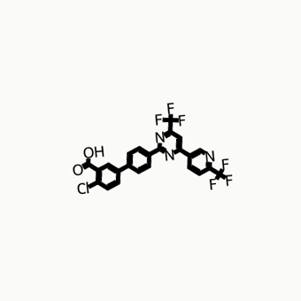 O=C(O)c1cc(-c2ccc(-c3nc(-c4ccc(C(F)(F)F)nc4)cc(C(F)(F)F)n3)cc2)ccc1Cl